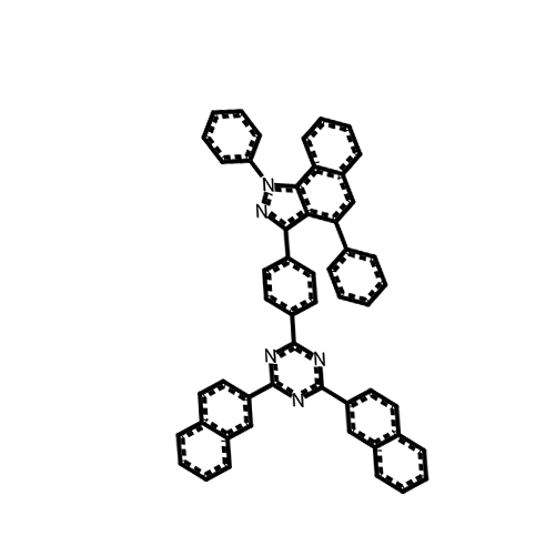 c1ccc(-c2cc3ccccc3c3c2c(-c2ccc(-c4nc(-c5ccc6ccccc6c5)nc(-c5ccc6ccccc6c5)n4)cc2)nn3-c2ccccc2)cc1